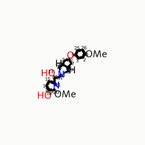 COc1ccc(O[C@H]2C[C@@H]3CN(C[C@H](O)c4ccc(O)c(OC)n4)C[C@@H]3C2)cc1